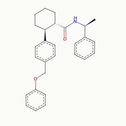 C[C@H](NC(=O)[C@H]1CCCC[C@@H]1c1ccc(COc2ccccc2)cc1)c1ccccc1